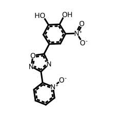 O=[N+]([O-])c1cc(-c2nc(-c3cccc[n+]3[O-])no2)cc(O)c1O